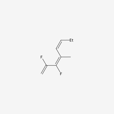 C=C(F)/C(F)=C(C)\C=C/CC